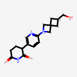 O=C1CCC(c2ccc(N3CC4(CC(CO)C4)C3)nc2)C(=O)N1